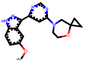 CC(C)Oc1ccc2[nH]nc(-c3cc(N4CCOC5(CC5)C4)ncn3)c2c1